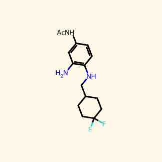 CC(=O)Nc1ccc(NCC2CCC(F)(F)CC2)c(N)c1